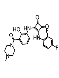 CN1CCN(C(=O)c2cccc(Nc3c(Nc4ccc(F)cc4F)c(=O)c3=O)c2O)CC1